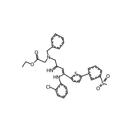 CCOC(=O)CN(CC(=N)/C=C(\Nc1ccccc1Cl)c1ccc(-c2cccc(S(C)(=O)=O)c2)s1)Cc1ccccc1